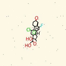 CC1C[C@H]2[C@@H]3CC(F)C4=CC(=O)CC[C@]4(C)[C@@]3(Cl)C(Cl)C[C@]2(C)[C@@]1(O)C(=O)CO